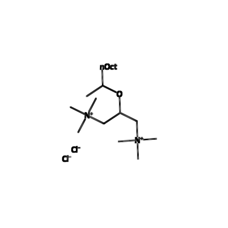 CCCCCCCCC(C)OC(C[N+](C)(C)C)C[N+](C)(C)C.[Cl-].[Cl-]